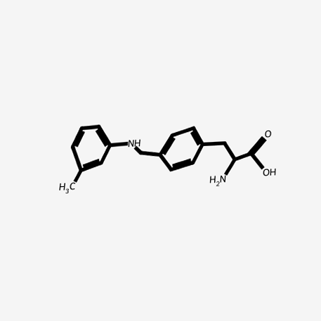 Cc1cccc(NCc2ccc(CC(N)C(=O)O)cc2)c1